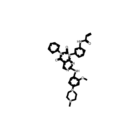 C=CC(=O)Nc1cccc(-n2c(=O)n(-c3ccccc3)c(=O)c3cnc(Nc4ccc(N5CCN(C)CC5)cc4OC)nc32)c1